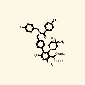 CCOC(=O)[C@@H](OC(C)(C)C)c1c(C)nc(C)c(-c2ccc(CN(Cc3ccc(F)cc3)C(=O)c3ccc(C(F)(F)F)cc3)cc2)c1N1CCC(C)(C)CC1